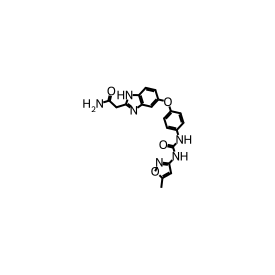 Cc1cc(NC(=O)Nc2ccc(Oc3ccc4[nH]c(CC(N)=O)nc4c3)cc2)no1